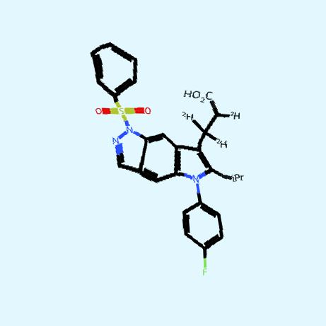 [2H]C(C(=O)O)C([2H])([2H])c1c(C(C)C)n(-c2ccc(F)cc2)c2cc3cnn(S(=O)(=O)c4ccccc4)c3cc12